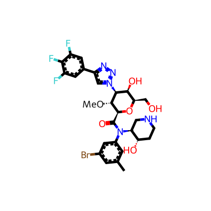 CO[C@@H]1[C@@H](n2cc(-c3cc(F)c(F)c(F)c3)nn2)[C@@H](O)[C@@H](CO)O[C@H]1C(=O)N(c1cc(C)cc(Br)c1)[C@H]1CNCC[C@@H]1O